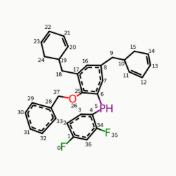 Fc1ccc(Pc2cc(CC3C=CC=CC3)cc(CC3C=CC=CC3)c2OCc2ccccc2)c(F)c1